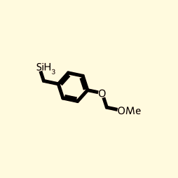 COCOc1ccc(C[SiH3])cc1